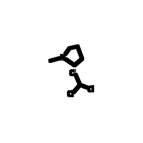 CN1CCCC1.ClC(Cl)Cl